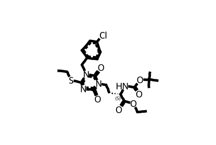 CCOC(=O)[C@H](CCn1c(=O)nc(SCC)n(Cc2ccc(Cl)cc2)c1=O)NC(=O)OC(C)(C)C